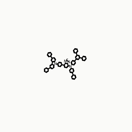 c1ccc(-c2ccc(N(c3ccc(-c4cc(-c5ccccc5)cc(-c5ccccc5)c4)cc3)c3ccc(-c4ccc(-n5c6ccc(-c7ccccc7)cc6c6cc(-c7ccccc7)ccc65)cc4)c4nsnc34)cc2)cc1